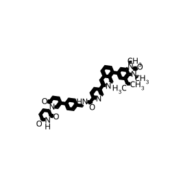 CC(C)c1cc(-c2cccc3cc(-c4ccc(C(=O)NCc5ccc(-c6ccc(=O)n(C7CCC(=O)NC7=O)c6)cc5)nc4)ncc23)cc2c1n(C)c(=O)n2C